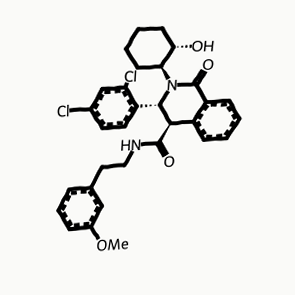 COc1cccc(CCNC(=O)[C@@H]2c3ccccc3C(=O)N([C@H]3CCCC[C@@H]3O)[C@H]2c2ccc(Cl)cc2Cl)c1